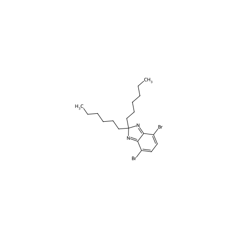 CCCCCCC1(CCCCCC)N=c2c(Br)ccc(Br)c2=N1